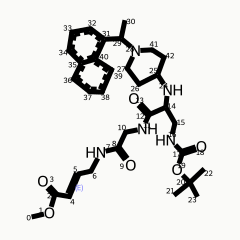 COC(=O)/C=C/CNC(=O)CNC(=O)C(CNC(=O)OC(C)(C)C)NC1CCN(C(C)c2cccc3ccccc23)CC1